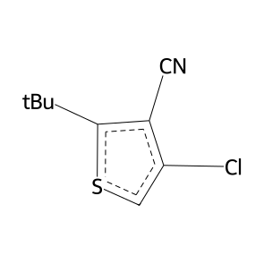 CC(C)(C)c1scc(Cl)c1C#N